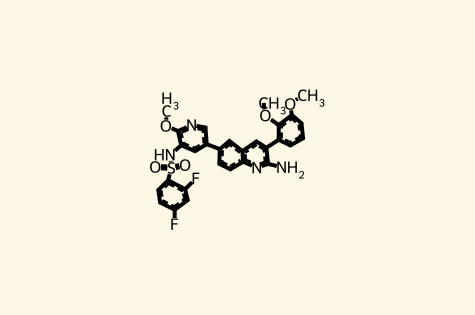 COc1cccc(-c2cc3cc(-c4cnc(OC)c(NS(=O)(=O)c5ccc(F)cc5F)c4)ccc3nc2N)c1OC